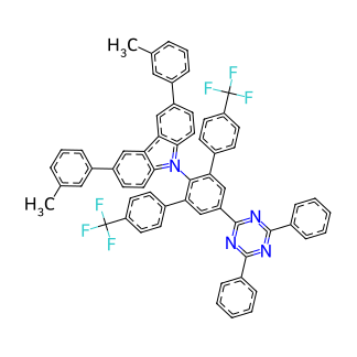 Cc1cccc(-c2ccc3c(c2)c2cc(-c4cccc(C)c4)ccc2n3-c2c(-c3ccc(C(F)(F)F)cc3)cc(-c3nc(-c4ccccc4)nc(-c4ccccc4)n3)cc2-c2ccc(C(F)(F)F)cc2)c1